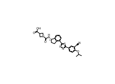 CC(C)Oc1ccc(-c2nnc(-c3cccc4c3CC[C@@H]4NC(=O)N3CC(C(=O)O)C3)s2)cc1C#N